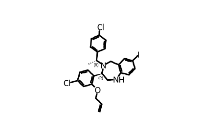 C=CCOc1cc(Cl)ccc1[C@@H]1CNc2ccc(I)cc2CN1[C@H](C)c1ccc(Cl)cc1